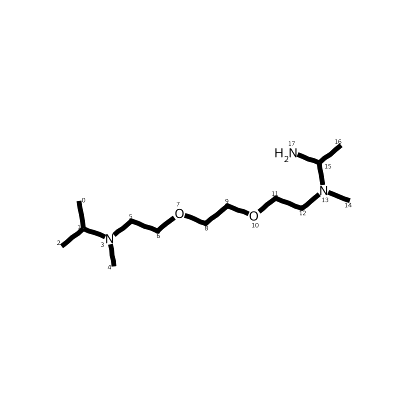 CC(C)N(C)CCOCCOCCN(C)C(C)N